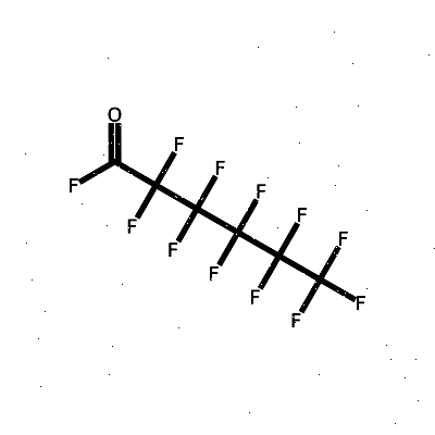 O=C(F)C(F)(F)C(F)(F)C(F)(F)C(F)(F)C(F)(F)F